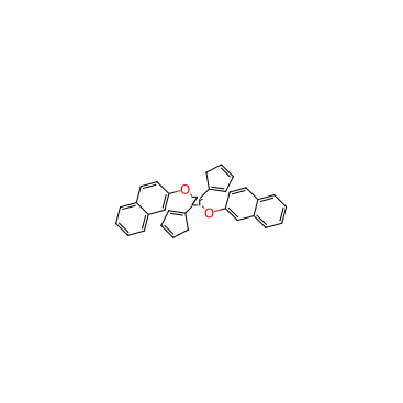 C1=CC[C]([Zr]([O]c2ccc3ccccc3c2)([O]c2ccc3ccccc3c2)[C]2=CC=CC2)=C1